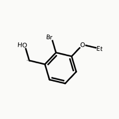 CCOc1cccc([CH]O)c1Br